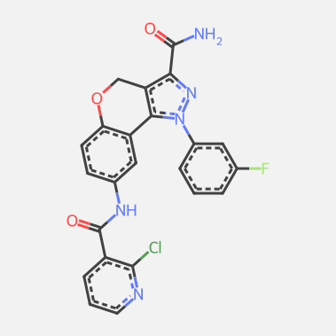 NC(=O)c1nn(-c2cccc(F)c2)c2c1COc1ccc(NC(=O)c3cccnc3Cl)cc1-2